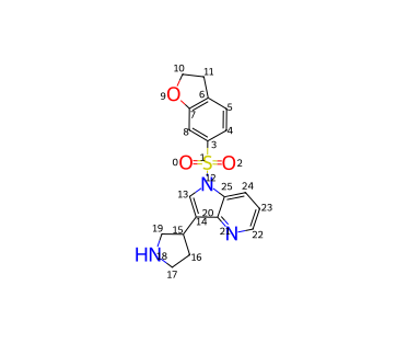 O=S(=O)(c1ccc2c(c1)OCC2)n1cc(C2CCNC2)c2ncccc21